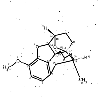 COc1ccc2c3c1OC1[C@@H]4CC[C@]5(O4)[C@H](C2)N(C)CC[C@@]315